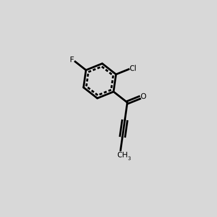 CC#CC(=O)c1ccc(F)cc1Cl